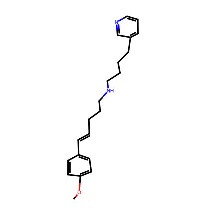 COc1ccc(/C=C/CCCNCCCCc2cccnc2)cc1